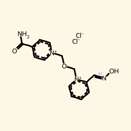 NC(=O)c1cc[n+](COC[n+]2ccccc2/C=N/O)cc1.[Cl-].[Cl-]